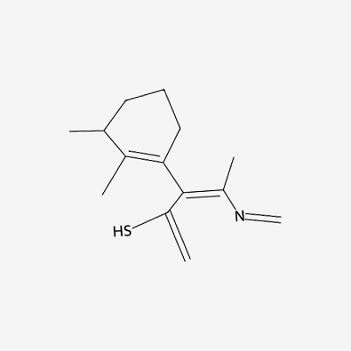 C=N/C(C)=C(\C(=C)S)C1=C(C)C(C)CCC1